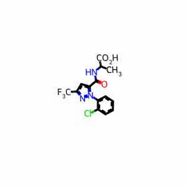 CC(NC(=O)c1cc(C(F)(F)F)nn1-c1ccccc1Cl)C(=O)O